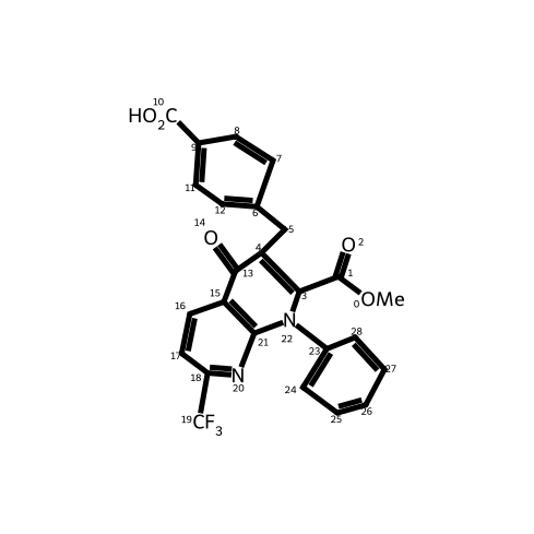 COC(=O)c1c(Cc2ccc(C(=O)O)cc2)c(=O)c2ccc(C(F)(F)F)nc2n1-c1ccccc1